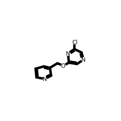 Clc1cncc(OCc2cccnc2)n1